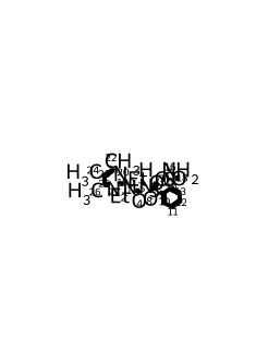 CC[N+](CC)(C(=O)NS(=O)(=O)c1ccccc1S(N)(=O)=O)c1nc(C)c(C)c(C)n1